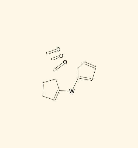 C1=CC[C]([W][C]2=CC=CC2)=C1.[C]=O.[C]=O.[C]=O